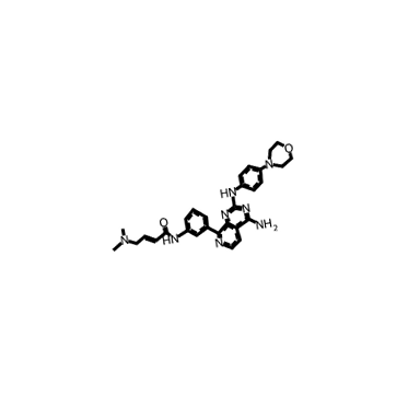 CN(C)CC=CC(=O)Nc1cccc(-c2nccc3c(N)nc(Nc4ccc(N5CCOCC5)cc4)nc23)c1